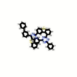 c1ccc(-c2cccc(-c3nc(-c4ccc5sc6cccc(-c7nc(-c8ccccc8)nc(-c8ccccc8)n7)c6c5c4)nc4c3sc3ccccc34)c2)cc1